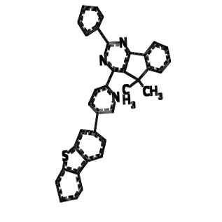 CC1(C)c2ccccc2-c2nc(-c3ccccc3)nc(-c3ccc(-c4ccc5c(c4)sc4ccccc45)cn3)c21